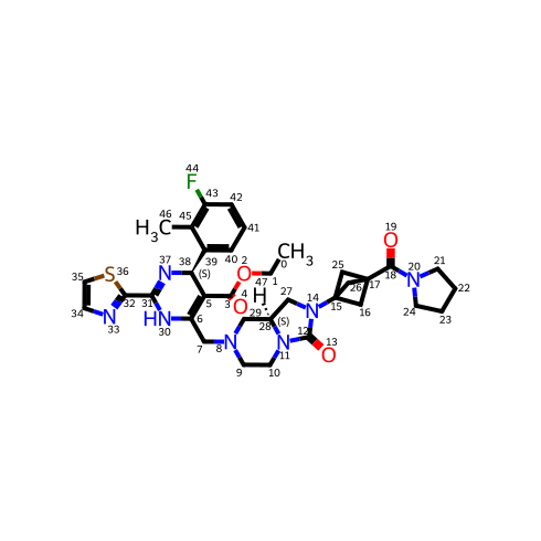 CCOC(=O)C1=C(CN2CCN3C(=O)N(C45CC(C(=O)N6CCCC6)(C4)C5)C[C@@H]3C2)NC(c2nccs2)=N[C@H]1c1cccc(F)c1C